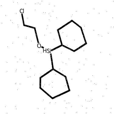 ClCCO[SiH](C1CCCCC1)C1CCCCC1